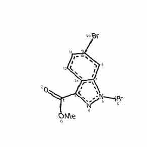 COC(=O)c1nn(C(C)C)c2cc(Br)ccc12